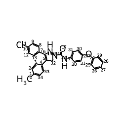 Cc1ccc(C2=C(c3ccc(Cl)cc3)NN(C(=O)Nc3ccc(Oc4ccccc4)cc3)C2)cc1